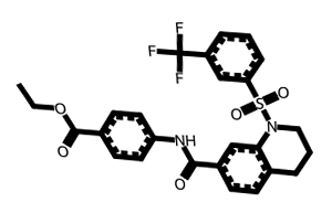 CCOC(=O)c1ccc(NC(=O)c2ccc3c(c2)N(S(=O)(=O)c2cccc(C(F)(F)F)c2)CCC3)cc1